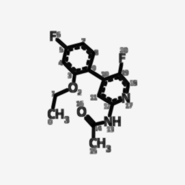 CCOc1cc(F)ccc1-c1cc(NC(C)=O)ncc1F